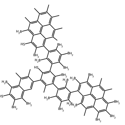 Bc1c(B)c(-c2c(B)c(-c3c(B)c(B)c(B)c(-c4c(B)c(S)c5c(B)c(C)c6c(C)c(C)c(C)c7c(C)c(C)c4c5c67)c3B)c(S)c(-c3cc4c(B)c(B)c(S)c(B)c4c(C)c3C)c2C)c(B)c(-c2c(B)c(B)c3c(C)c(C)c4c(B)c(B)c(B)c5c(C)c(B)c2c3c54)c1B